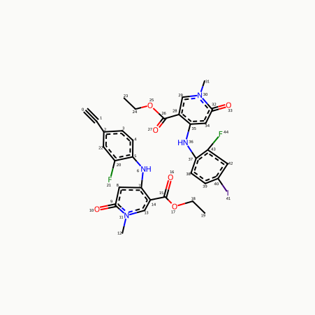 C#Cc1ccc(Nc2cc(=O)n(C)cc2C(=O)OCC)c(F)c1.CCOC(=O)c1cn(C)c(=O)cc1Nc1ccc(I)cc1F